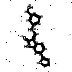 O=C1Nc2cc(-c3ccco3)ccc2C1=CNc1cccc(CO)c1